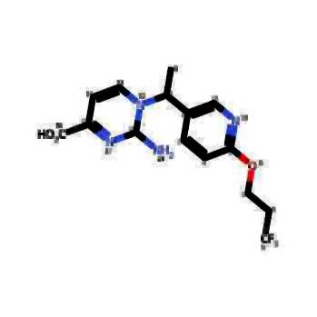 CC(c1ccc(OCCC(F)(F)F)nc1)N1C=CC(C(=O)O)=NC1N